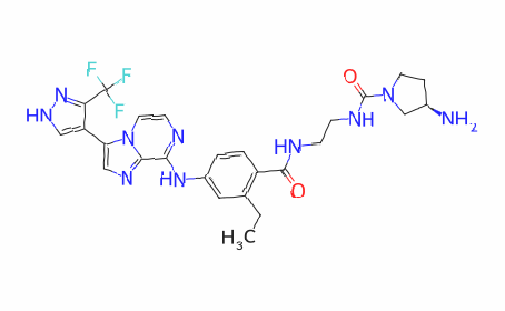 CCc1cc(Nc2nccn3c(-c4c[nH]nc4C(F)(F)F)cnc23)ccc1C(=O)NCCNC(=O)N1CC[C@@H](N)C1